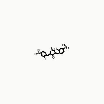 CCN(CC)c1ccc(C=C2CN(C)CC(=Cc3ccc(N(CC)CC)cc3Cl)C2=O)c(Cl)c1